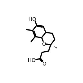 CC1=C(C)C2O[C@](C)(CCC(=O)O)CCC2C=C1O